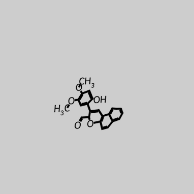 COc1cc(O)c(C2=Cc3c(ccc4ccccc34)OC2C=O)cc1OC